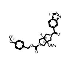 CO[C@@]12CN(C(=O)OCc3ccc(OC(F)(F)F)cc3)C[C@H]1CN(C(=O)c1ccc3[nH]nnc3c1)C2